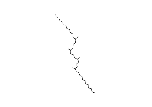 CCCCCCCCCCCCC(C)CCCC(C)CCCC(C)CCCC(C)CCCCCCCCCCCC